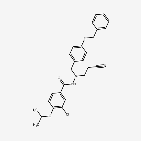 CC(C)Oc1ccc(C(=O)NN(CCC#N)Cc2ccc(OCc3ccccc3)cc2)cc1Cl